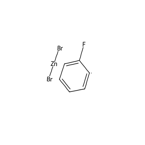 Fc1[c]cccc1.[Br][Zn][Br]